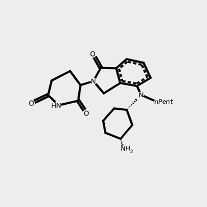 CCCCCN(c1cccc2c1CN(C1CCC(=O)NC1=O)C2=O)[C@H]1CCC[C@@H](N)C1